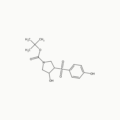 CC(C)(C)OC(=O)N1CC(O)C(S(=O)(=O)c2ccc(O)cc2)C1